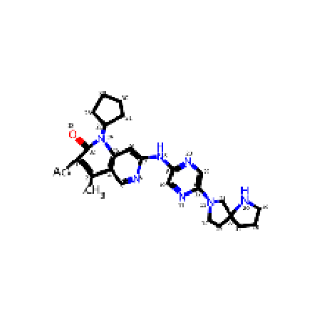 CC(=O)c1c(C)c2cnc(Nc3cnc(N4CCC5(CCCN5)C4)cn3)cc2n(C2CCCC2)c1=O